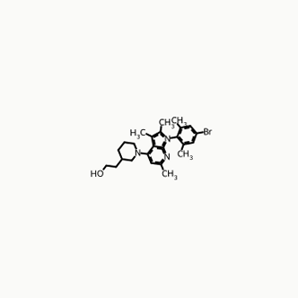 Cc1cc(N2CCCC(CCO)C2)c2c(C)c(C)n(-c3c(C)cc(Br)cc3C)c2n1